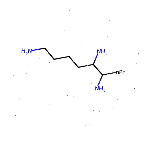 CCCC(N)C(N)CCCCN